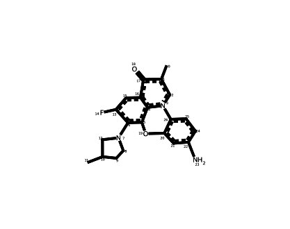 Cc1cn2c3c(c(N4CCC(C)C4)c(F)cc3c1=O)Oc1cc(N)ccc1-2